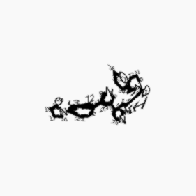 O=C(c1cc2c(-c3cncc(-c4ccc(N5CCCC5=O)cc4)c3)ccnc2[nH]1)N1CCCC2(CCCO2)C1